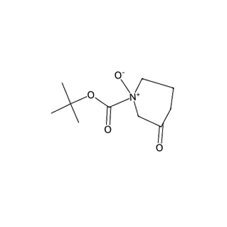 CC(C)(C)OC(=O)[N+]1([O-])CCCC(=O)C1